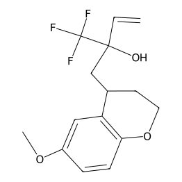 C=CC(O)(CC1CCOc2ccc(OC)cc21)C(F)(F)F